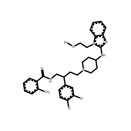 CCOCCn1c(NC2CCN(CCC(CNC(=O)c3ccccc3C)c3ccc(Cl)c(Cl)c3)CC2)nc2ccccc21